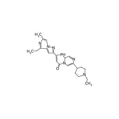 CCc1nc(C)cn2nc(C3=CC(=O)N4C=C(C5CCN(CC)CC5)N=CC4P3)cc12